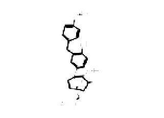 CCOc1ccc(Cc2cc([C@@]34CC[C@@](COC(C)=O)(CC(O)[C@H]3O)O4)ccc2Cl)cc1